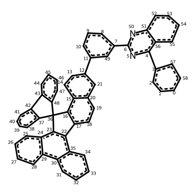 c1ccc(-c2nc(-c3cccc(-c4ccc5c6c(ccc5c4)-c4c(c5ccccc5c5ccccc45)C64c5ccccc5-c5ccccc54)c3)nc3ccccc23)cc1